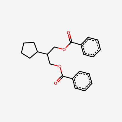 O=C(OCC(COC(=O)c1ccccc1)C1CCCC1)c1ccccc1